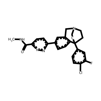 CNC(=O)c1ccc(-c2ccc3c(c2)CN2CCC3(c3ccc(Cl)c(F)c3)CC2)nn1